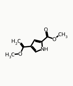 C=C(OC)c1c[nH]c(C(=O)OC)c1